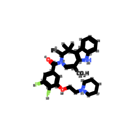 CC(C)C1N(C(=O)c2cc(F)c(F)c(OCCN3CCCCC3)c2)C=C(C(=O)O)c2[nH]c3ccccc3c2C1(C)C